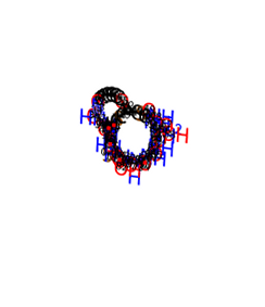 CSCC[C@@H]1NC(=O)[C@@H]2CCCN2C(=O)[C@@H]2CSCc3cc(cc(c3)OCCCCCCO/N=C/C(=O)N[C@@H](C)C(=O)N2)CSC[C@@H](C(N)=O)NC(=O)[C@H](CCC(=O)O)NC(=O)CNC(=O)[C@H](C)NC(=O)[C@H](C(C)C)NC(=O)[C@H](CC(=O)O)NC1=O